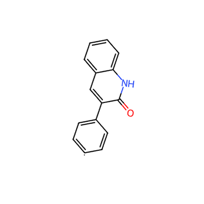 O=c1[nH]c2ccccc2cc1-c1cc[c]cc1